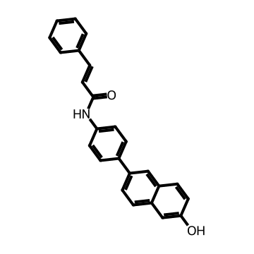 O=C(C=Cc1ccccc1)Nc1ccc(-c2ccc3cc(O)ccc3c2)cc1